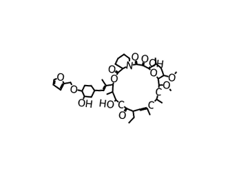 CCC1/C=C(\C)CC(C)CC(OC)C2OC(O)(C(=O)C(=O)N3CCCCC3C(=O)OC(C(C)=CC3CCC(OCc4ccco4)C(O)C3)C(C)C(O)CC1=O)C(C)CC2OC